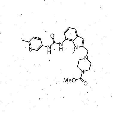 COC(=O)N1CCN(Cc2cc3cccc(NC(=O)Nc4ccc(C)nc4)c3n2C)CC1